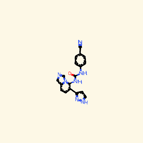 N#Cc1ccc(NC(=O)Nc2c(-c3cc[nH]n3)ccc3cncn23)cc1